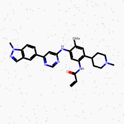 C=CC(=O)Nc1cc(Nc2cc(-c3ccc4c(cnn4C)c3)ncn2)c(OC)cc1C1CCN(C)CC1